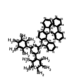 BC/C(B)=C(\C(B)=C(\B)C(B)=C)c1nc(-c2c(B)c(B)c(B)c(B)c2B)nc(-n2c3ccccc3c3c2ccc2c4ccccc4n(-c4ccccc4-c4ccccc4)c23)n1